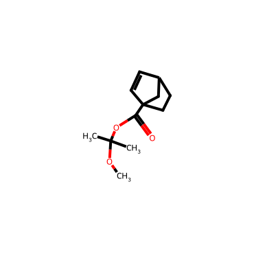 COC(C)(C)OC(=O)C12C=CC(CC1)C2